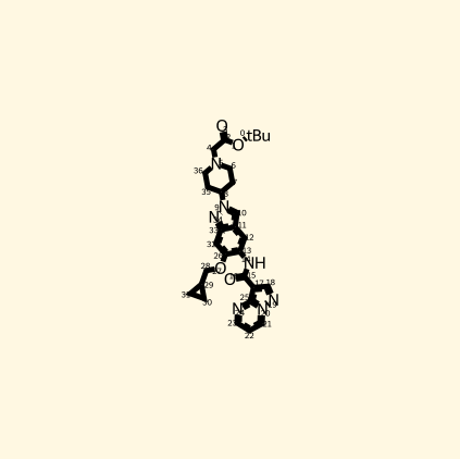 CC(C)(C)OC(=O)CN1CCC(n2cc3cc(NC(=O)c4cnn5cccnc45)c(OCC4CC4)cc3n2)CC1